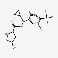 O=C(N[C@@H](c1cc(F)c(C(F)(F)F)cc1F)C1CC1)C1C[C@@H](O)CN1